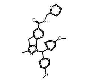 COc1ccc(C(c2ccc(OC)cc2)n2nc(I)c3c2-c2ccc(C(=O)NCc4ccccn4)cc2C3)cc1